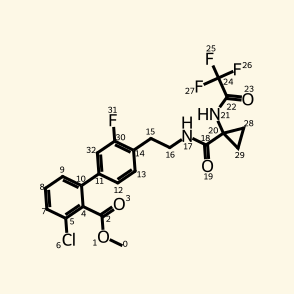 COC(=O)c1c(Cl)cccc1-c1ccc(CCNC(=O)C2(NC(=O)C(F)(F)F)CC2)c(F)c1